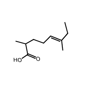 CCC(C)=CCCC(C)C(=O)O